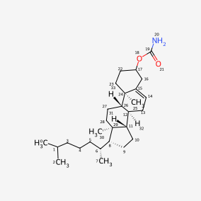 CC(C)CCC[C@@H](C)[C@H]1CC[C@H]2[C@@H]3CC=C4CC(OC(N)=O)CC[C@]4(C)[C@H]3CC[C@]12C